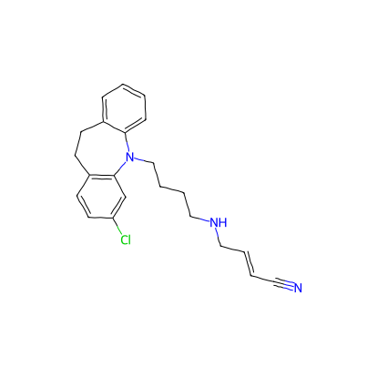 N#C/C=C/CNCCCCN1c2ccccc2CCc2ccc(Cl)cc21